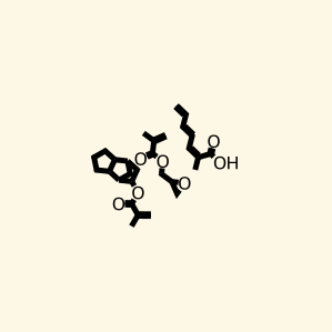 C=C(C)C(=O)OC1CC2CC1C1CCCC21.C=C(C)C(=O)OCC1CO1.C=CC=CC=C(C)C(=O)O